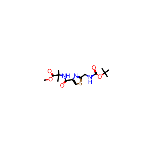 COC(=O)C(C)(C)NC(=O)c1csc(CNC(=O)OC(C)(C)C)n1